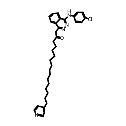 O=C(CCCCCCCCCCCCCCc1ccncc1)Cc1nnc(Nc2ccc(Cl)cc2)c2ccccc12